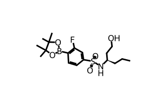 CCC[C@H](CCO)NS(=O)(=O)c1ccc(B2OC(C)(C)C(C)(C)O2)c(F)c1